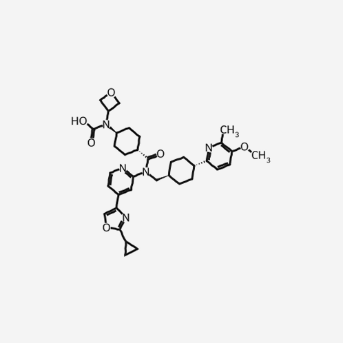 COc1ccc([C@H]2CC[C@H](CN(c3cc(-c4coc(C5CC5)n4)ccn3)C(=O)[C@H]3CC[C@H](N(C(=O)O)C4COC4)CC3)CC2)nc1C